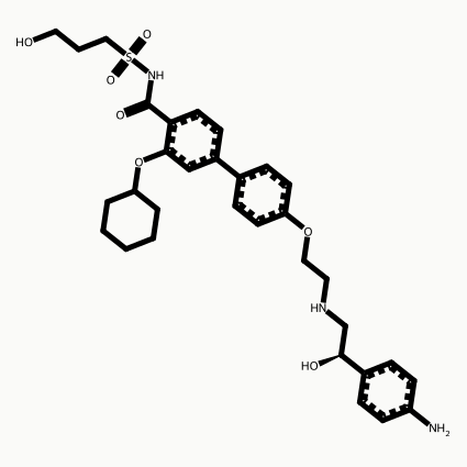 Nc1ccc([C@@H](O)CNCCOc2ccc(-c3ccc(C(=O)NS(=O)(=O)CCCO)c(OC4CCCCC4)c3)cc2)cc1